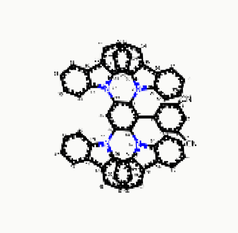 N#Cc1cc(C#N)cc(-c2c(-n3c4ccccc4c4ccccc43)c(-n3c4ccccc4c4ccccc43)cc(-n3c4ccccc4c4ccccc43)c2-n2c3ccccc3c3ccccc32)c1